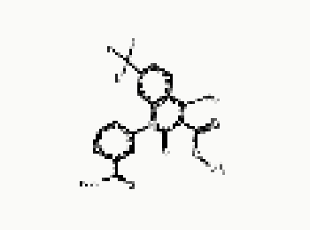 COC(=O)c1c(N)c2ccc(C(F)(F)F)cc2n(-c2cccc(C(C)=O)c2)c1=O